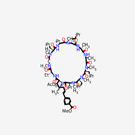 CC[C@H]1NC(=O)[C@H]([C@H](OC(C)=O)[C@H](C)C/C=C/c2ccc(C(=O)OC)cc2)N(C)C(=O)[C@H](C(C)C)N(C)C(=O)[C@H](CC(C)C)N(C)C(=O)[C@H](CC(C)C)N(C)C(=O)[C@H](C)NC(=O)[C@@H](C)NC(=O)[C@@H](CCC(C)C)N(C)C(=O)[C@@H](C(C)C)NC(=O)[C@H](CC(C)C)N(C)C(=O)CN(C)C1=O